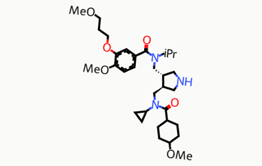 COCCCOc1cc(C(=O)N(C[C@@H]2CNC[C@H]2CN(C(=O)C2CCC(OC)CC2)C2CC2)C(C)C)ccc1OC